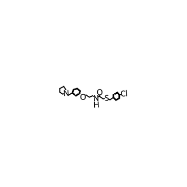 O=C(CSCc1ccc(Cl)cc1)NCCCOc1cccc(CN2CCCCC2)c1